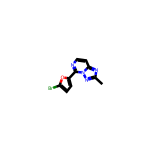 Cc1nc2ccnc(-c3ccc(Br)o3)n2n1